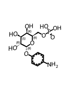 Nc1ccc(O[C@H]2O[C@H](COP(=O)(O)O)[C@H](O)[C@H](O)[C@H]2O)cc1